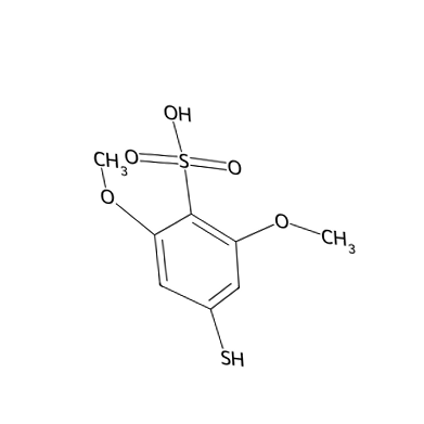 COc1cc(S)cc(OC)c1S(=O)(=O)O